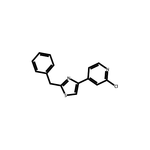 Clc1cc(-c2csc(Cc3ccccc3)n2)ccn1